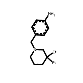 CCC1(CC)CCCN(Cc2ccc(N)cc2)C1